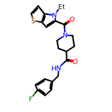 CCn1c(C(=O)N2CCC(C(=O)NCc3ccc(F)cc3)CC2)cc2sccc21